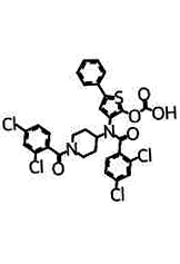 O=C(O)Oc1sc(-c2ccccc2)cc1N(C(=O)c1ccc(Cl)cc1Cl)C1CCN(C(=O)c2ccc(Cl)cc2Cl)CC1